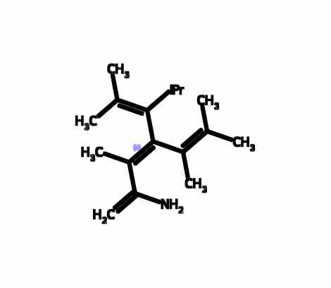 C=C(N)/C(C)=C(\C(C)=C(C)C)C(=C(C)C)C(C)C